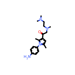 Cc1cc(C(=O)CN(C)CCN(C)C)c(C)n1-c1ccc(N)cc1